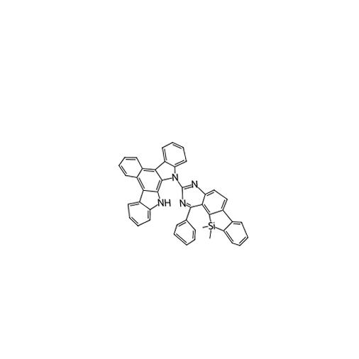 C[Si]1(C)c2ccccc2-c2ccc3nc(-n4c5ccccc5c5c6ccccc6c6c7ccccc7[nH]c6c54)nc(-c4ccccc4)c3c21